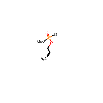 C=CCOP(=O)(CC)OC